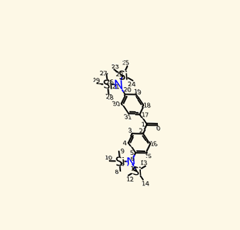 C=C(c1ccc(N([Si](C)(C)C)[Si](C)(C)C)cc1)c1ccc(N([Si](C)(C)C)[Si](C)(C)C)cc1